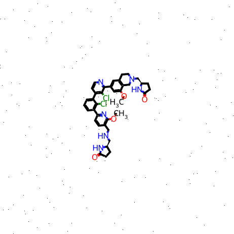 COc1cc(-c2nccc(-c3cccc(-c4ccc(CNC[C@H]5CCC(=O)N5)c(OC)n4)c3Cl)c2Cl)cc2c1CN(C[C@H]1CCC(=O)N1)CC2